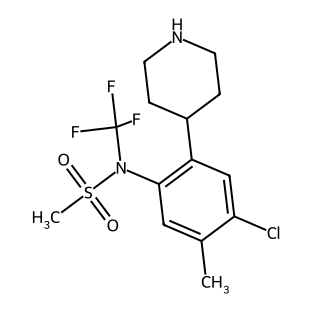 Cc1cc(N(C(F)(F)F)S(C)(=O)=O)c(C2CCNCC2)cc1Cl